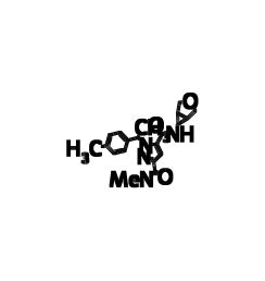 CNC(=O)c1cc(C(=O)NC2C3COCC32)n(C(C)c2ccc(C)cc2)n1